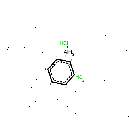 Cl.Cl.[AlH3].c1ccccc1